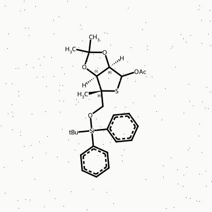 CC(=O)OC1S[C@](C)(CO[Si](c2ccccc2)(c2ccccc2)C(C)(C)C)[C@H]2OC(C)(C)O[C@@H]12